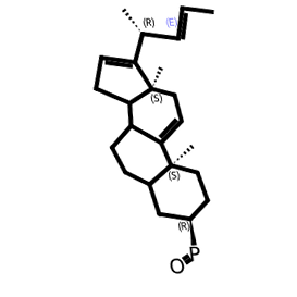 C/C=C/[C@@H](C)C1=CCC2C3CCC4C[C@H](P=O)CC[C@]4(C)C3=CC[C@]12C